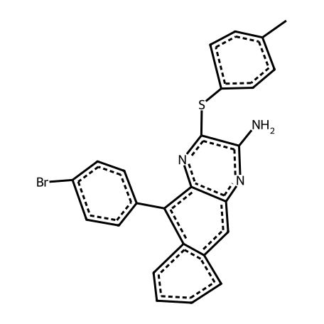 Cc1ccc(Sc2nc3c(-c4ccc(Br)cc4)c4ccccc4cc3nc2N)cc1